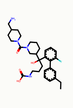 CCc1cccc(-c2c(F)cccc2C(O)(CCCNC(=O)O)C2CCCN(C(=O)N3CCC(CN)CC3)C2)c1